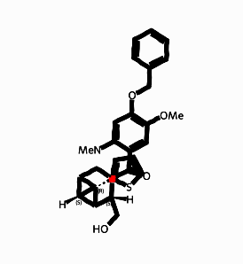 CNc1cc(OCc2ccccc2)c(OC)cc1C(=O)N1CC2[C@H]3C([C@H]1CO)[C@]23c1cccs1